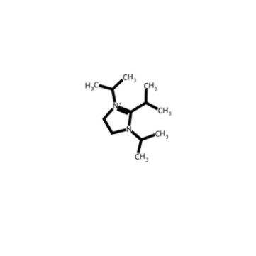 CC(C)C1=[N+](C(C)C)CCN1C(C)C